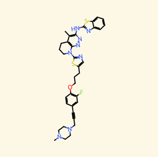 Cc1c(Nc2nc3ccccc3s2)nnc2c1CCCN2c1ncc(CCCOc2ccc(C#CCN3CCN(C)CC3)cc2F)s1